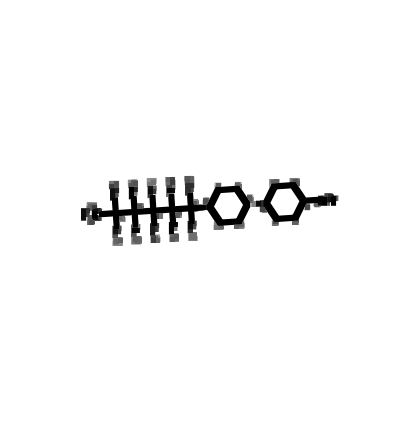 CCCC1CCC([C@H]2CC[C@H](C(F)(F)C(F)(F)C(F)(F)C(F)(F)C(F)(F)C(F)(F)F)CC2)CC1